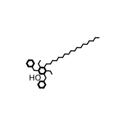 CCCCCCCCCCCCCCCCCCc1c(CC)c(Cc2ccccc2)c(O)c(Cc2ccccc2)c1CC